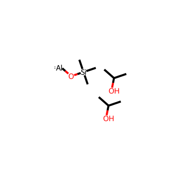 CC(C)O.CC(C)O.C[Si](C)(C)[O][Al]